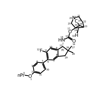 CCCOc1ccc(-c2cc3c(cc2F)[C@H](NC(=O)O[C@@H]2CN4CCC2CC4)C(C)(C)C3)cc1